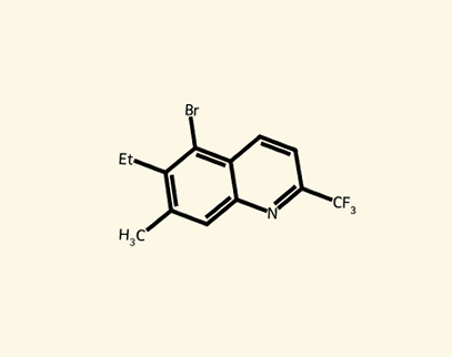 CCc1c(C)cc2nc(C(F)(F)F)ccc2c1Br